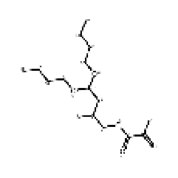 C=C(C)C(=O)OCC(C)CC(OCCCC)OCCCC